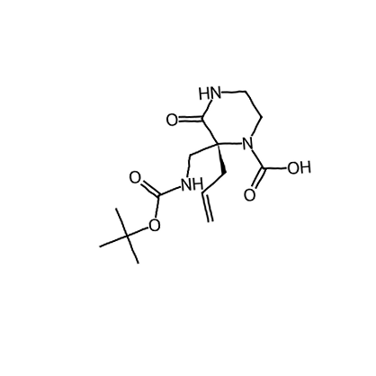 C=CC[C@@]1(CNC(=O)OC(C)(C)C)C(=O)NCCN1C(=O)O